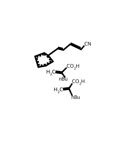 C=C(CCCC)C(=O)O.C=C(CCCC)C(=O)O.N#CC=CC=Cc1ccccc1